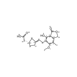 COc1c(C)c2c(c(O)c1CC=C1CC[C@H](SC(=O)O)C1)C(=O)OC2